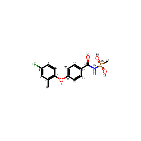 Cc1cc(F)ccc1Oc1ccc(C(=O)NS(C)(=O)=O)cc1